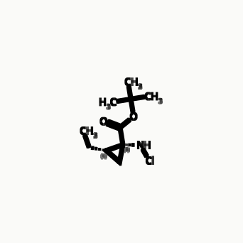 CC[C@H]1C[C@]1(NCl)C(=O)OC(C)(C)C